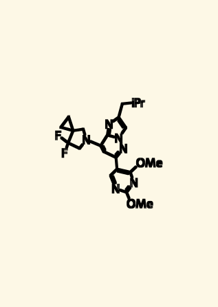 COc1ncc(-c2cc(N3CC(F)(F)C4(CC4)C3)c3nc(CC(C)C)cn3n2)c(OC)n1